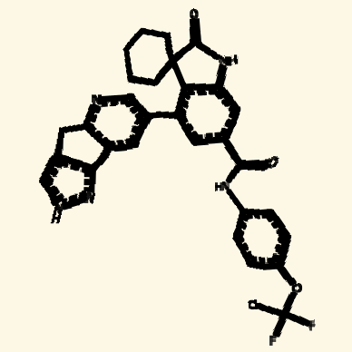 O=C(Nc1ccc(OC(F)(F)Cl)cc1)c1cc2c(c(-c3cnc4c(c3)-c3n[nH]cc3C4)c1)C1(CCCCC1)C(=O)N2